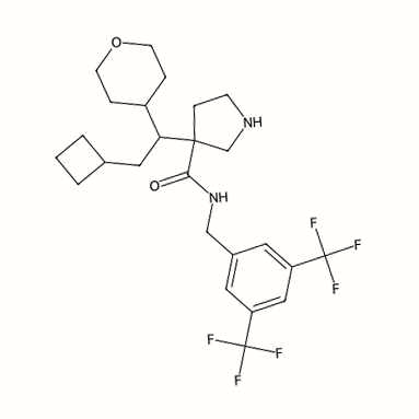 O=C(NCc1cc(C(F)(F)F)cc(C(F)(F)F)c1)C1(C(CC2CCC2)C2CCOCC2)CCNC1